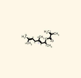 C=C(C)C(=O)OC(C)/C=C(\C)CC=C(C)C